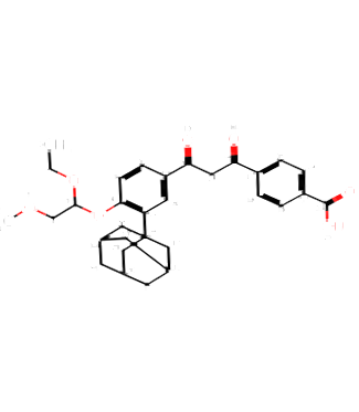 CCOC(COC)Oc1ccc(C(=O)CC(=O)c2ccc(C(=O)O)cc2)cc1C12CC3CC(CC(C3)C1)C2